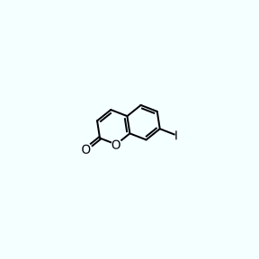 O=c1ccc2ccc(I)cc2o1